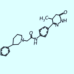 CC1CC(=O)NN=C1c1ccc(NC(=O)CN2CCCC(c3ccccc3)C2)cc1